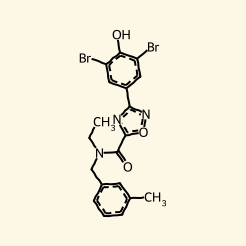 CCN(Cc1cccc(C)c1)C(=O)c1nc(-c2cc(Br)c(O)c(Br)c2)no1